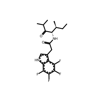 CC[C@H](C)[C@H](NC(=O)Cc1c[nH]c2c(F)c(F)c(F)c(F)c12)C(=O)C(C)C